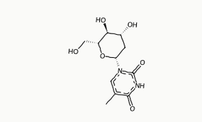 Cc1cn([C@H]2C[C@@H](O)[C@H](O)[C@@H](CO)O2)c(=O)[nH]c1=O